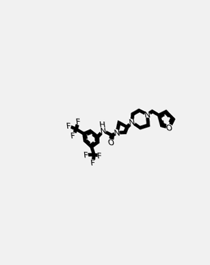 O=C(Nc1cc(C(F)(F)F)cc(C(F)(F)F)c1)N1CC(N2CCN(Cc3ccoc3)CC2)C1